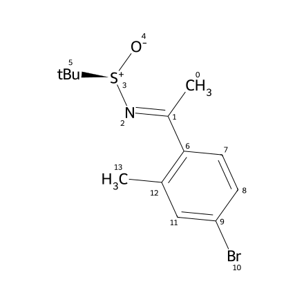 CC(=N[S@+]([O-])C(C)(C)C)c1ccc(Br)cc1C